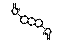 c1cc(-c2ccc3cc4cc(-c5cc[nH]n5)ccc4cc3c2)n[nH]1